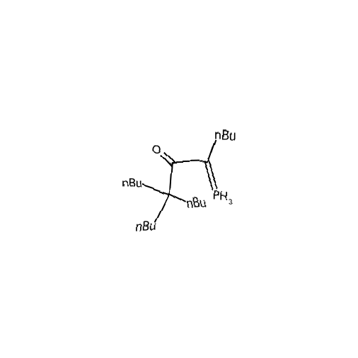 CCCCC(=[PH3])C(=O)C(CCCC)(CCCC)CCCC